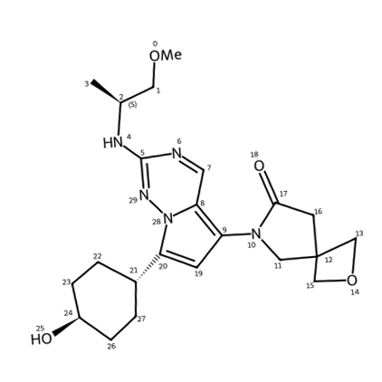 COC[C@H](C)Nc1ncc2c(N3CC4(COC4)CC3=O)cc([C@H]3CC[C@H](O)CC3)n2n1